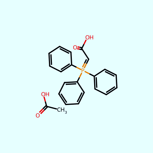 CC(=O)O.O=C(O)C=P(c1ccccc1)(c1ccccc1)c1ccccc1